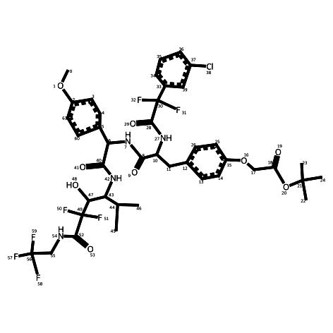 COc1ccc(C(NC(=O)C(Cc2ccc(OCC(=O)OC(C)(C)C)cc2)NC(=O)C(F)(F)c2cccc(Cl)c2)C(=O)NC(C(C)C)C(O)C(F)(F)C(=O)NCC(F)(F)F)cc1